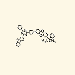 CC1(C)c2ccccc2-c2cc3c(cc21)Oc1cc(-c2ccc(-c4nc(-c5ccccc5)nc(-c5ccc6c(c5)sc5ccccc56)n4)cc2)ccc1O3